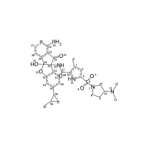 Cc1cc(S(=O)(=O)N2CCC(N(C)C)C2)[nH]c1C(=O)NC12C(=O)c3c(N)cccc3C1(O)Oc1cc(C3CC3C)ccc12